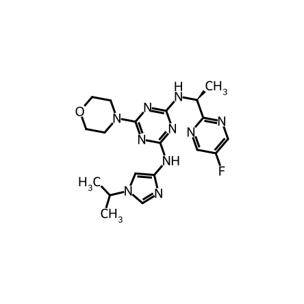 CC(C)n1cnc(Nc2nc(N[C@@H](C)c3ncc(F)cn3)nc(N3CCOCC3)n2)c1